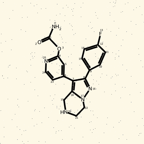 NC(=O)Oc1cc(-c2c(-c3ccc(F)cc3)nn3c2CNCC3)ccn1